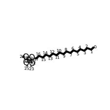 CCCCCCCCCCCCCCCCCCO[Si](OC)(OC)OC